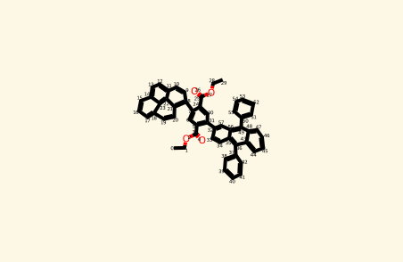 CCOC(=O)c1cc(-c2ccc3ccc4cccc5ccc2c3c45)c(C(=O)OCC)cc1-c1ccc2c(-c3ccccc3)c3ccccc3c(-c3ccccc3)c2c1